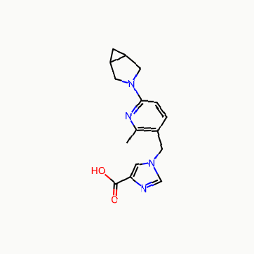 Cc1nc(N2CC3CC3C2)ccc1Cn1cnc(C(=O)O)c1